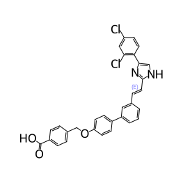 O=C(O)c1ccc(COc2ccc(-c3cccc(/C=C/c4nc(-c5ccc(Cl)cc5Cl)c[nH]4)c3)cc2)cc1